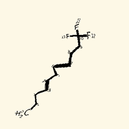 [CH2]CCCCC/C=C/CCC(F)(F)F